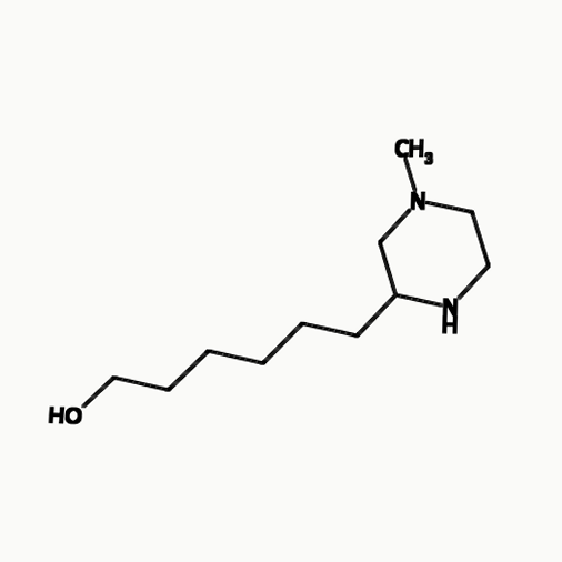 CN1CCNC(CCCCCCO)C1